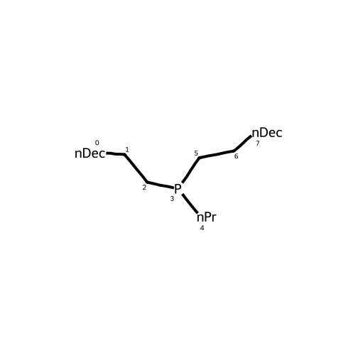 CCCCCCCCCCCCP(CCC)CCCCCCCCCCCC